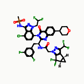 CS(=O)(=O)Nc1nn(CC(F)F)c2c(-n3c([C@H](Cc4cc(F)cc(F)c4)NC(=O)Cn4nc(C(F)F)c5c4C(F)(F)[C@@H]4C[C@H]54)nc4cc(C5CCOCC5)ccc4c3=O)ccc(Cl)c12